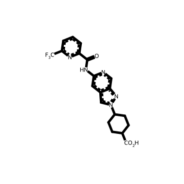 O=C(Nc1cc2cn(C3CCC(C(=O)O)CC3)nc2cn1)c1cccc(C(F)(F)F)n1